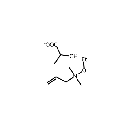 C=CC[N+](C)(C)OCC.CC(O)C(=O)[O-]